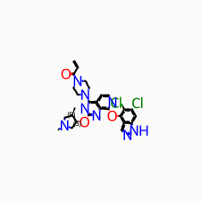 C=CC(=O)N1CCN(c2nc(O[C@@H]3CN(C)C[C@H]3C)nc3c(Oc4c(Cl)c(Cl)cc5[nH]ncc45)nccc23)CC1